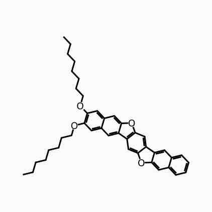 CCCCCCCCOc1cc2cc3oc4cc5c(cc4c3cc2cc1OCCCCCCCC)oc1cc2ccccc2cc15